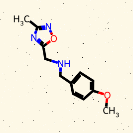 COc1ccc(CNCc2nc(C)no2)cc1